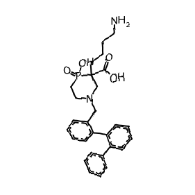 NCCCCC1(C(=O)O)CN(Cc2ccccc2-c2ccccc2-c2ccccc2)CCP1(=O)O